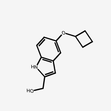 OCc1cc2cc(OC3CCC3)ccc2[nH]1